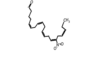 CC/C=C\C/C(=C\C/C=C\C/C=C\C/C=C\CCC[C]=O)[N+](=O)[O-]